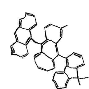 Cc1ccc2c(-c3c4ccccc4cc4ccncc34)c3ccccc3c(-c3cccc4c3-c3ccccc3C4(C)C)c2c1